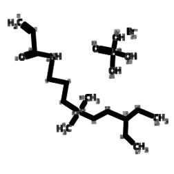 C=CC(=O)NCCC[N+](C)(C)CCC(CC)CC.O=P(O)(O)O.[Br-]